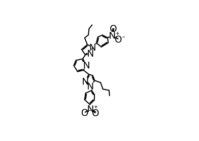 CCCCc1cc(-c2cccc(-c3cc(CCCC)n(-c4ccc([N+](=O)[O-])cc4)n3)n2)nn1-c1ccc([N+](=O)[O-])cc1